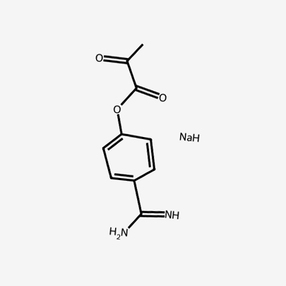 CC(=O)C(=O)Oc1ccc(C(=N)N)cc1.[NaH]